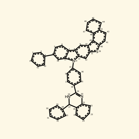 c1ccc(-c2ccc3c4cc5c(cc4n(-c4ccc(C6=Nc7ccccc7C(c7ccccc7)N6)cc4)c3c2)sc2ccc3ccccc3c25)cc1